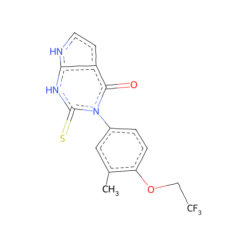 Cc1cc(-n2c(=S)[nH]c3[nH]ccc3c2=O)ccc1OCC(F)(F)F